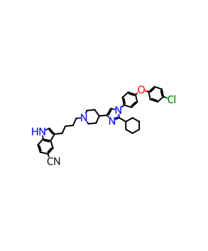 N#Cc1ccc2[nH]cc(CCCCN3CCC(c4cn(-c5ccc(Oc6ccc(Cl)cc6)cc5)c(C5CCCCC5)n4)CC3)c2c1